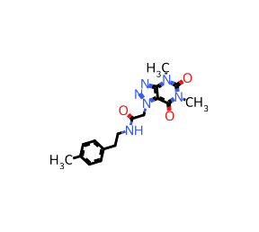 Cc1ccc(CCNC(=O)Cn2nnc3c2c(=O)n(C)c(=O)n3C)cc1